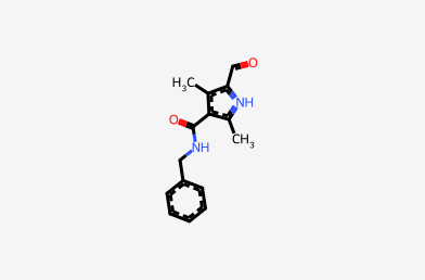 Cc1[nH]c(C=O)c(C)c1C(=O)NCc1ccccc1